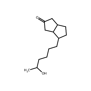 CC(O)CCCCC1CCC2CC(=O)CC12